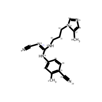 Cc1cc(N/C(=N\C#N)NCCCn2cncc2C)ccc1C#N